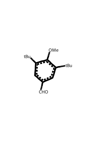 COc1c(C(C)(C)C)cc(C=O)cc1C(C)(C)C